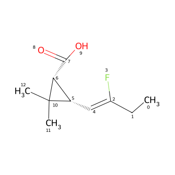 CC/C(F)=C/[C@H]1[C@@H](C(=O)O)C1(C)C